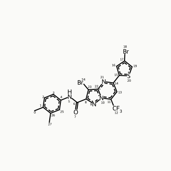 Cc1ccc(NC(=O)c2nn3c(C(F)(F)F)cc(-c4cc(Br)cs4)nc3c2Br)cc1C